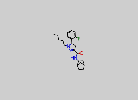 CCCCCN1N=C(C(=O)NC2CC3CCC2C3)CC1c1ccccc1F